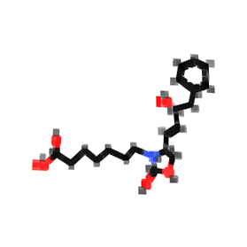 O=C(O)CCCCCCN1C(=O)OCC1C=C[C@H](O)Cc1ccccc1